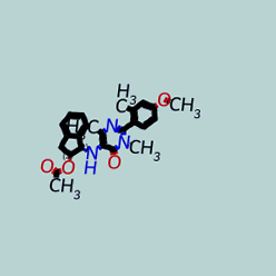 COc1ccc(-c2nc(C)c(N[C@@H]3c4ccccc4C[C@@H]3OC(C)=O)c(=O)n2C)c(C)c1